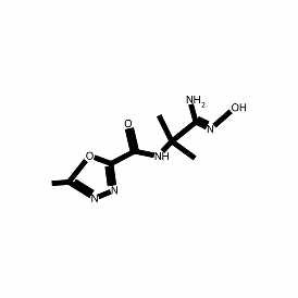 Cc1nnc(C(=O)NC(C)(C)C(N)=NO)o1